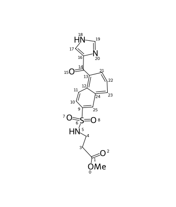 COC(=O)CCNS(=O)(=O)c1ccc2c(C(=O)c3c[nH]cn3)cccc2c1